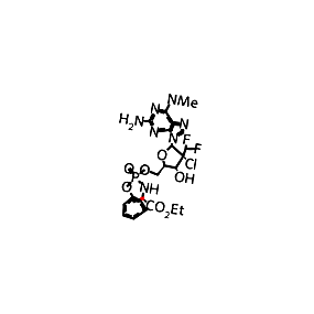 CCOC(=O)[C@@H](C)NP(=O)(OC[C@H]1O[C@@H](n2cnc3c(NC)nc(N)nc32)[C@@](Cl)(C(F)F)[C@@H]1O)Oc1ccccc1